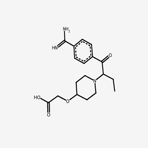 CCC(C(=O)c1ccc(C(=N)N)cc1)N1CCC(OCC(=O)O)CC1